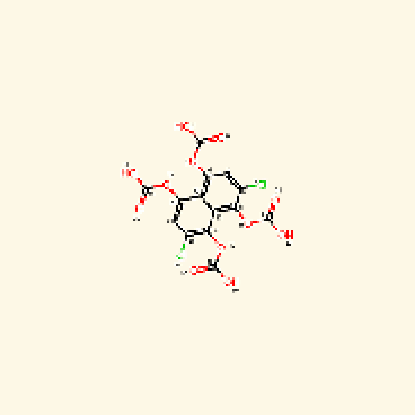 O=C(O)Oc1cc(Cl)c(OC(=O)O)c2c(OC(=O)O)c(Cl)cc(OC(=O)O)c12